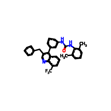 Cc1cccc(C)c1NC(=O)Nc1cccc(-c2c(Cc3ccccc3)cnc3c(C(F)(F)F)cccc23)c1